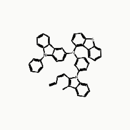 C=C/C=C\c1c(C)c2ccccc2n1-c1cccc(N(c2ccc3c(c2)c2ccccc2n3-c2ccccc2)c2cccc3sc4ccccc4c23)c1